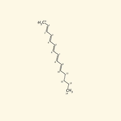 [CH2]/C=C/C=C/C=C/C=C/C=C/CCCC